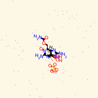 NC(=O)OC[C@H]1[C@@H]2N=C(N)N[C@]23N(C[C@@H](OS(=O)(=O)O)C3(O)O)C(N)=[N+]1[O-]